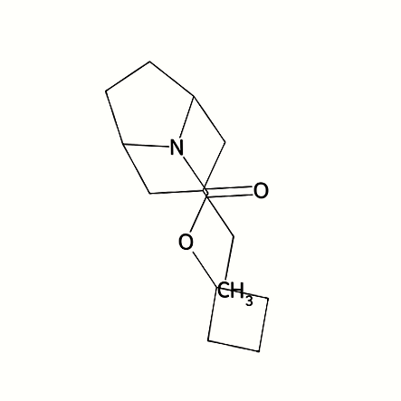 CCC1CC2CCC(C1)N2C(=O)OC1CCC1